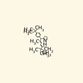 C=C/C(=C\C=C(/C)C(c1ccc(C(CC)(CC)CC)cc1)C1CCCN1)C(CC)(CC)CC